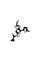 Cc1ccc(-c2nc(NC(=O)C3CC3)cn3nc(CF)nc23)o1